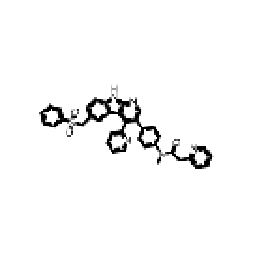 CN(C(=O)Cc1ccccn1)c1ccc(-c2cnc3[nH]c4ccc(CS(=O)(=O)c5ccccc5)cc4c3c2-c2ccccn2)cc1